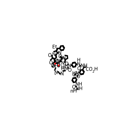 CCCNC(=O)Nc1cccc(S(=O)(=O)Nc2cccc(C(CC(=O)O)NC(=O)Nc3ccc(NC(=O)NCCN(C)CCN(C)CCN(C)CC(=O)NCC(=O)N4CCCC4C(=O)NC(C(=O)OC4(CC)C(=O)OCc5c4cc4n(c5=O)Cc5c-4nc4ccccc4c5CC)C(C)C)cc3)c2)c1